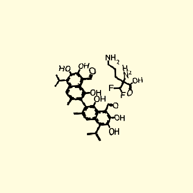 Cc1cc2c(C(C)C)c(O)c(O)c(C=O)c2c(O)c1-c1c(C)cc2c(C(C)C)c(O)c(O)c(C=O)c2c1O.NCCCC(N)(C(=O)O)C(F)F